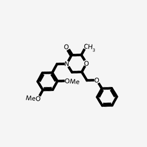 COc1ccc(CN2CC(COc3ccccc3)OC(C)C2=O)c(OC)c1